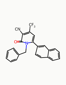 [C-]#[N+]c1c(C(F)(F)F)cc(-c2ccc3ccccc3c2)n(Cc2ccccc2)c1=O